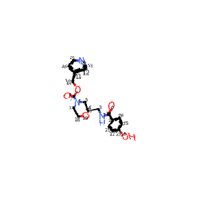 O=C(NC[C@@H]1CN(C(=O)OCc2ccncc2)CCO1)c1ccc(O)cc1